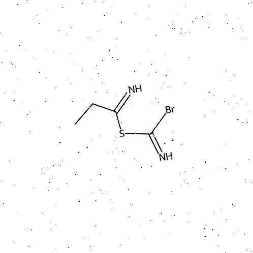 CCC(=N)SC(=N)Br